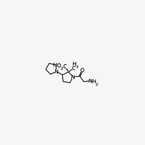 C[C@@]1(C(=O)O)C(N2CCCC2)CCN1C(=O)CN